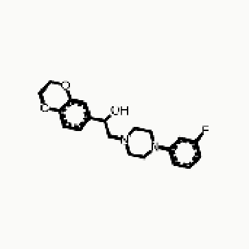 OC(CN1CCN(c2cccc(F)c2)CC1)c1ccc2c(c1)OCCO2